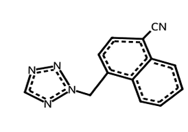 N#Cc1ccc(Cn2ncnn2)c2ccccc12